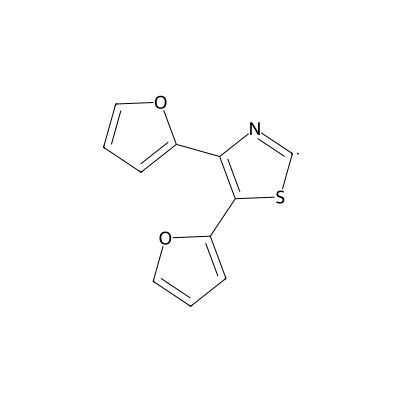 [c]1nc(-c2ccco2)c(-c2ccco2)s1